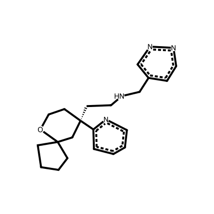 c1ccc([C@]2(CCNCc3ccnnc3)CCOC3(CCCC3)C2)nc1